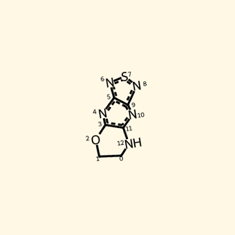 C1COc2nc3nsnc3nc2N1